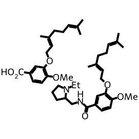 CCN1CCCC1CNC(=O)c1ccc(OC)c(OC/C=C(\C)CCC=C(C)C)c1.COc1ccc(C(=O)O)cc1OC/C=C(\C)CCC=C(C)C